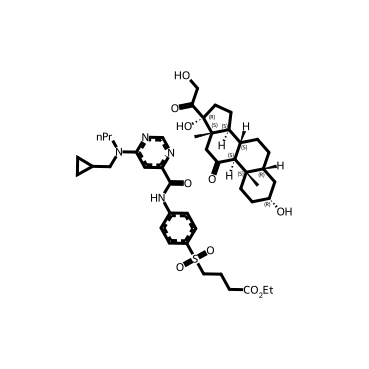 CCCN(CC1CC1)c1cc(C(=O)Nc2ccc(S(=O)(=O)CCCC(=O)OCC)cc2)ncn1.C[C@]12CC[C@@H](O)C[C@H]1CC[C@@H]1[C@@H]2C(=O)C[C@@]2(C)[C@H]1CC[C@]2(O)C(=O)CO